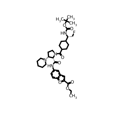 CCOC(=O)c1cc2cc(NC(=O)[C@@H]3[C@H](N4CCCCC4)CCN3C(=O)C3CCC([C@@H](CF)NC(=O)OC(C)(C)C)CC3)ccc2o1